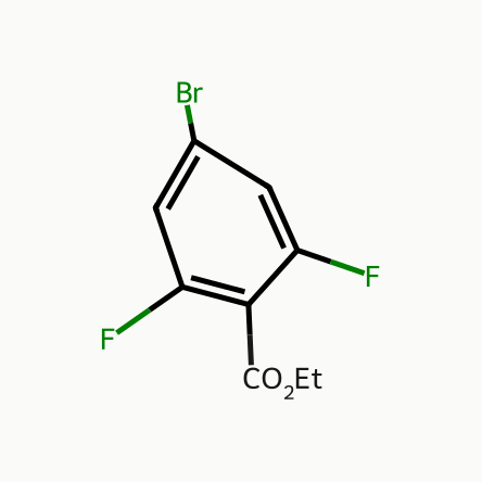 CCOC(=O)c1c(F)cc(Br)cc1F